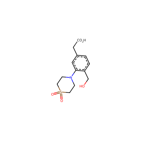 O=C(O)Cc1ccc(CO)c(N2CCS(=O)(=O)CC2)c1